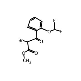 COC(=O)C(Br)C(=O)c1ccccc1OC(F)F